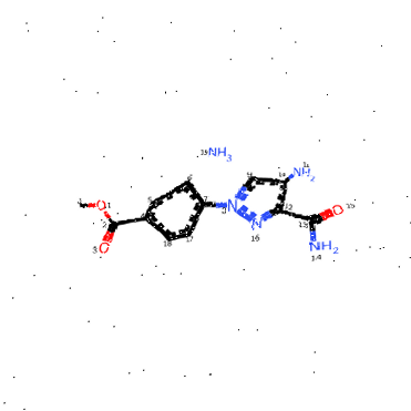 COC(=O)c1ccc(-n2cc(N)c(C(N)=O)n2)cc1.N